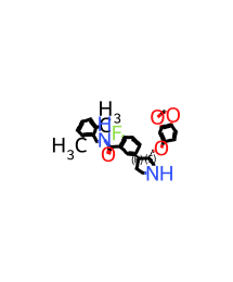 Cc1cccc(C)c1CNC(=O)c1cc([C@@H]2CCNC[C@H]2COc2ccc3c(c2)OCO3)ccc1F